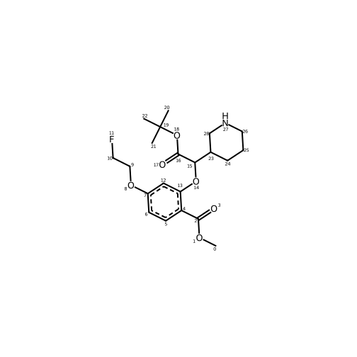 COC(=O)c1ccc(OCCF)cc1OC(C(=O)OC(C)(C)C)C1CCCNC1